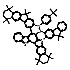 CC(C)(C)c1ccc(N2B3c4cc5c(cc4-n4c6cc7c(cc6c6c8sc9ccccc9c8c(c3c64)-c3cc4c(cc32)C(C)(C)c2cc3c(cc2-4)C(C)(C)CCC3(C)C)C(C)(C)CCC7(C)C)C(C)(C)c2ccccc2-5)cc1